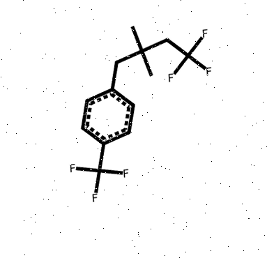 CC(C)(Cc1ccc(C(F)(F)F)cc1)CC(F)(F)F